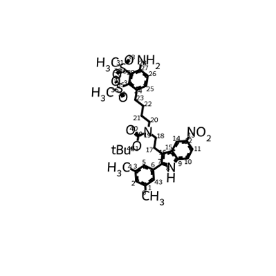 Cc1cc(C)cc(-c2[nH]c3ccc([N+](=O)[O-])cc3c2CCN(CCCCc2ccc(N)c(S(C)(=O)=O)c2S(C)(=O)=O)C(=O)OC(C)(C)C)c1